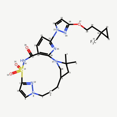 CC1(C)CC2CCCn3ccc(n3)S(=O)(=O)NC(=O)c3ccc(-n4ccc(OCCC5(C(F)(F)F)CC5)n4)nc3N1C2